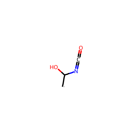 [CH2]C(O)N=C=O